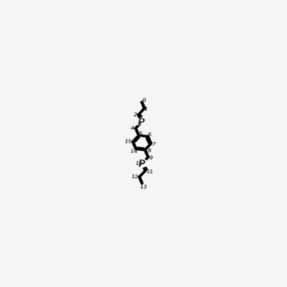 CCC=PCc1ccc(CP=CCC)cc1